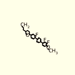 C=CCCC1CCC(c2ccc(-c3ccc(-c4ccc(OCC)c(F)c4F)cc3)c(F)c2)OC1